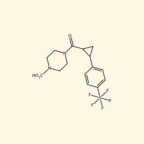 O=C(O)N1CCN(C(=O)C2CC2c2ccc(S(F)(F)(F)(F)F)cc2)CC1